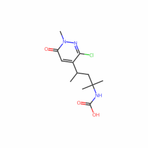 CC(CC(C)(C)NC(=O)O)c1cc(=O)n(C)nc1Cl